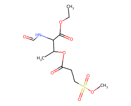 CCOC(=O)C(NC=O)C(C)OC(=O)CCS(=O)(=O)OC